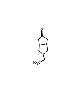 O=C(O)CC1CC2CC(=O)CC2C1